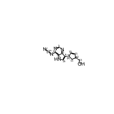 [N-]=[N+]=Nc1ncnc2c([C@H]3C=C[C@@H](CO)C3)c[nH]c12